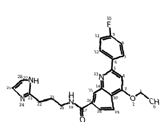 CCOc1cc(-c2ccc(F)cc2)nc2cc(C(=O)NCCCc3ncc[nH]3)ccc12